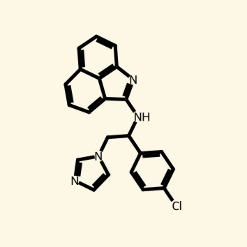 Clc1ccc(C(Cn2ccnc2)NC2=Nc3cccc4cccc2c34)cc1